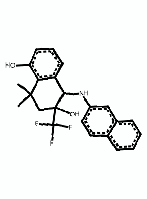 CC1(C)CC(O)(C(F)(F)F)C(Nc2ccc3ccccc3c2)c2cccc(O)c21